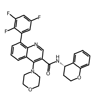 O=C(N[C@H]1CCOc2ccccc21)c1cnc2c(-c3cc(F)cc(F)c3F)cccc2c1N1CCOCC1